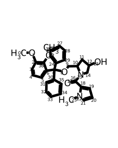 COc1cccc(C(OCC2CC(O)CN2C(=O)c2cccn2C)(c2ccccc2)c2ccccc2)c1OC